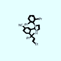 CCC=CC(C)(C(C)C)C1CC=C(C#N)C=C1C1NC=CN1c1c(C(C)C)cccc1C(C)C